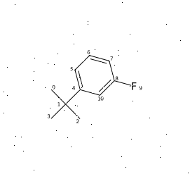 CC(C)(C)c1cccc(F)c1